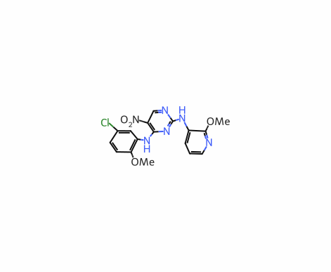 COc1ccc(Cl)cc1Nc1nc(Nc2cccnc2OC)ncc1[N+](=O)[O-]